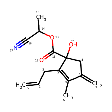 C=CCC1=C(C)C(=C)CC1(O)C(=O)OC(C)C#N